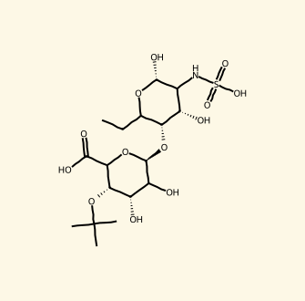 CCC1O[C@H](O)C(NS(=O)(=O)O)[C@H](O)[C@@H]1O[C@@H]1OC(C(=O)O)[C@@H](OC(C)(C)C)[C@@H](O)C1O